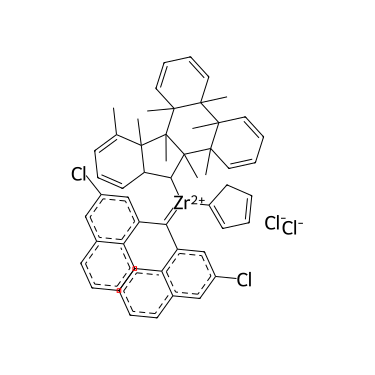 CC1=CC=CC2[CH]([Zr+2]([C]3=CC=CC3)=[C](c3cc(Cl)cc4ccccc34)c3cc(Cl)cc4ccccc34)C3(C)C4(C)C=CC=CC4(C)C4(C)C=CC=CC4(C)C3(C)C12C.[Cl-].[Cl-]